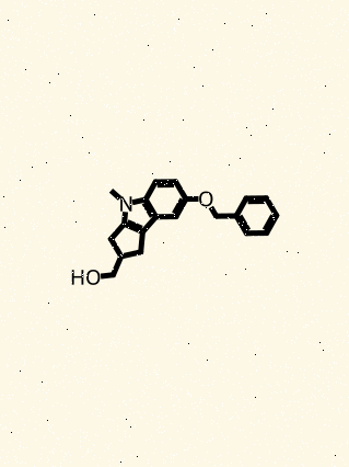 Cn1c2c(c3cc(OCc4ccccc4)ccc31)CC(CO)C2